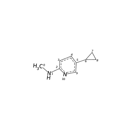 CNc1ccc(C2CC2)cn1